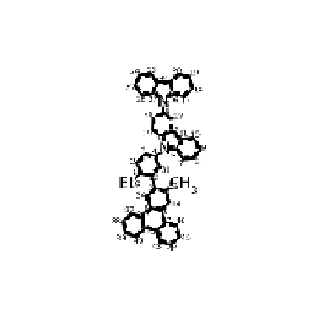 CCc1ccc(-n2c3ccccc3c3cc(-n4c5ccccc5c5ccccc54)ccc32)cc1-c1cc2c3ccccc3c3ccccc3c2cc1C